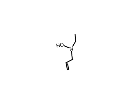 C=C[CH]N(O)CC